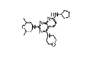 CC1CN(c2nc(N3CCOCC3)c3ccc(NC4CCCC4)nc3n2)CC(C)O1